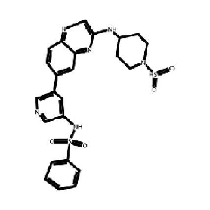 O=[SH](=O)N1CCC(Nc2cnc3ccc(-c4cncc(NS(=O)(=O)c5ccccc5)c4)cc3n2)CC1